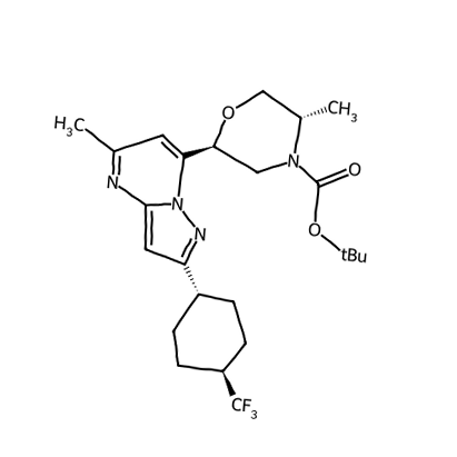 Cc1cc([C@@H]2CN(C(=O)OC(C)(C)C)[C@@H](C)CO2)n2nc([C@H]3CC[C@H](C(F)(F)F)CC3)cc2n1